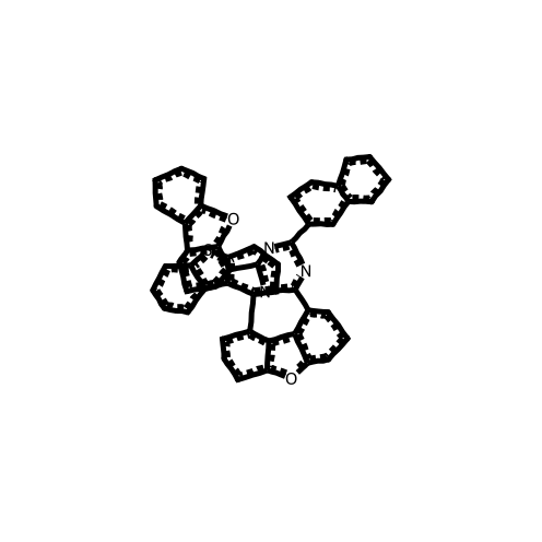 c1ccc2cc(-c3nc(-c4cccc5c4oc4ccccc45)nc(-c4cccc5oc6cccc(-c7cccc8sc9ccccc9c78)c6c45)n3)ccc2c1